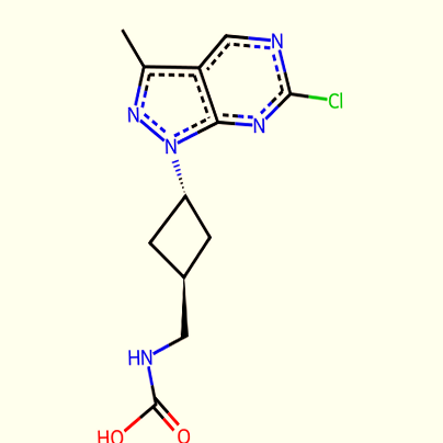 Cc1nn([C@H]2C[C@H](CNC(=O)O)C2)c2nc(Cl)ncc12